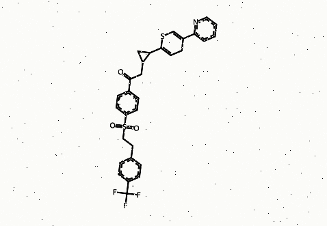 O=C(CC1CC1C1=CCC(c2ccccn2)=CS1)c1ccc(S(=O)(=O)CCc2ccc(C(F)(F)F)cc2)cc1